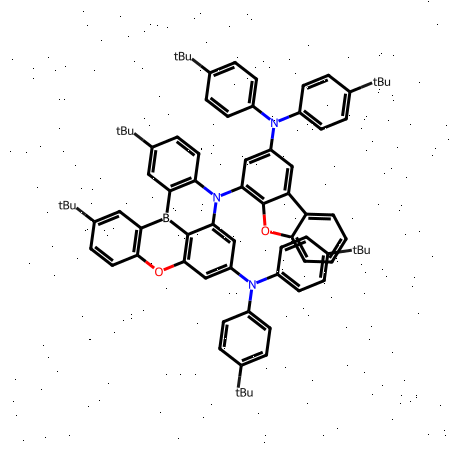 CC(C)(C)c1ccc(N(c2ccc(C(C)(C)C)cc2)c2cc3c4c(c2)N(c2cc(N(c5ccc(C(C)(C)C)cc5)c5ccc(C(C)(C)C)cc5)cc5c2oc2ccccc25)c2ccc(C(C)(C)C)cc2B4c2cc(C(C)(C)C)ccc2O3)cc1